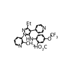 CCc1nn(-c2cccnc2C)c(Nc2ccc(OC(F)(F)F)cc2C(=O)O)c1-c1ccncc1